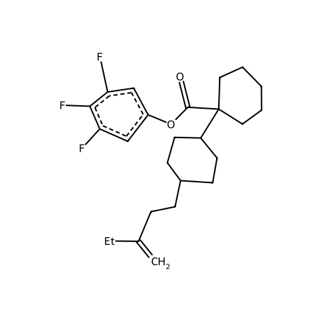 C=C(CC)CCC1CCC(C2(C(=O)Oc3cc(F)c(F)c(F)c3)CCCCC2)CC1